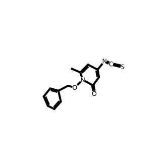 Cc1cc(N=C=S)cc(=O)n1OCc1ccccc1